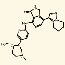 C[C@H]1CC[C@H](CO)N(c2ccc(Nc3ccc(-c4cnn5c4CCCC5)c4c3C(=O)NC4)nc2)C1